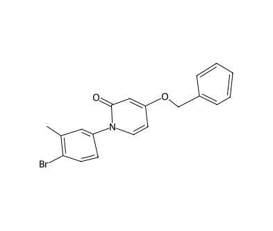 Cc1cc(-n2ccc(OCc3ccccc3)cc2=O)ccc1Br